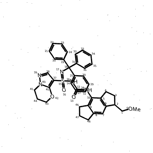 COCC1CCc2c1cc1c(c2NC(=O)NS(=O)(=NC(c2ccccc2)(c2ccccc2)c2ccccc2)c2cnn3c2OCCC3)CCC1